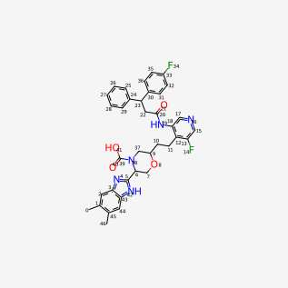 Cc1cc2nc(C3COC(CCc4c(F)cncc4NC(=O)CC(c4ccccc4)c4ccc(F)cc4)CN3C(=O)O)[nH]c2cc1C